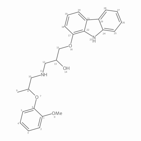 COc1ccccc1OC(C)CNCC(O)COc1cccc2c1[nH]c1ccccc12